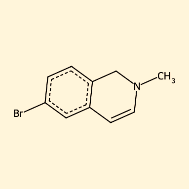 CN1C=Cc2cc(Br)ccc2C1